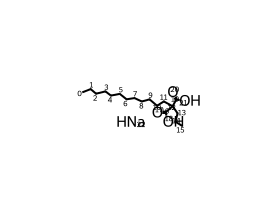 CCCCCCCCCCCCC(CCC)(C(=O)O)C(=O)O.[NaH]